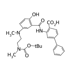 CN(CCN(C)c1ccc(O)c(C(=O)Nc2cc(-c3ccccc3)ccc2C(=O)O)c1)C(=O)OC(C)(C)C